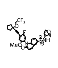 COc1cc(C#CC2(OCC(F)(F)F)CCCC2)c(F)cc1-n1c(=O)ccc2cc(S(=O)(=O)Nc3ccon3)ccc21